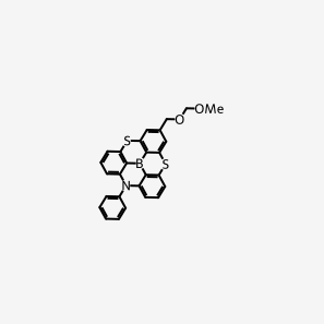 COCOCc1cc2c3c(c1)Sc1cccc4c1B3c1c(cccc1N4c1ccccc1)S2